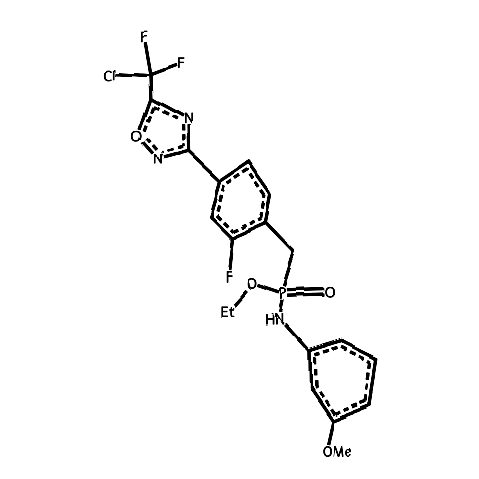 CCOP(=O)(Cc1ccc(-c2noc(C(F)(F)Cl)n2)cc1F)Nc1cccc(OC)c1